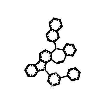 C1=Cc2c(ccc3c4ccccc4n(-c4cncc(-c5ccccc5)n4)c23)N(c2ccc3ccccc3c2)c2ccccc21